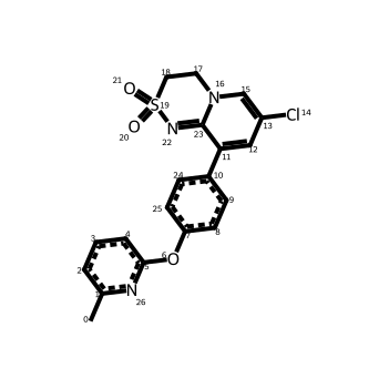 Cc1cccc(Oc2ccc(C3=CC(Cl)=CN4CCS(=O)(=O)N=C34)cc2)n1